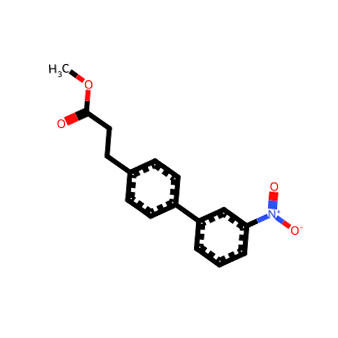 COC(=O)CCc1ccc(-c2cccc([N+](=O)[O-])c2)cc1